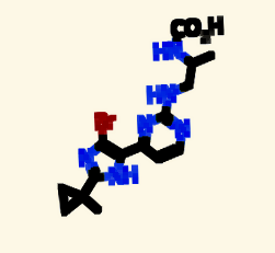 CC(CNc1nccc(-c2[nH]c(C3(C)CC3)nc2Br)n1)NC(=O)O